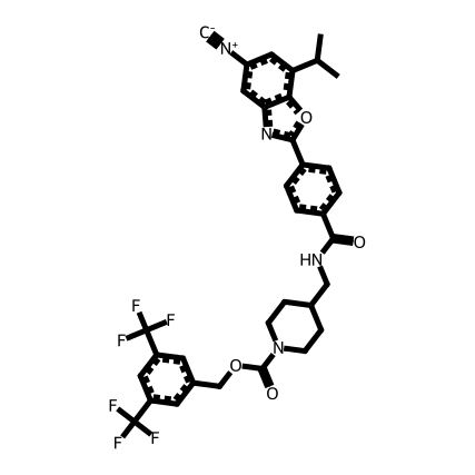 [C-]#[N+]c1cc(C(C)C)c2oc(-c3ccc(C(=O)NCC4CCN(C(=O)OCc5cc(C(F)(F)F)cc(C(F)(F)F)c5)CC4)cc3)nc2c1